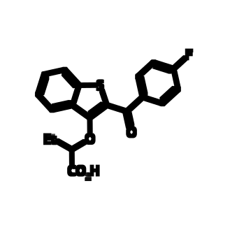 CCC(Oc1c(C(=O)c2ccc(F)cc2)sc2ccccc12)C(=O)O